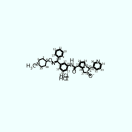 CN1CCC(ON=C(c2ccccc2)c2cccc(NC(=O)c3ccn4c3C[S+]([O-])[C@@H]4c3cccnc3)c2)CC1.Cl.Cl